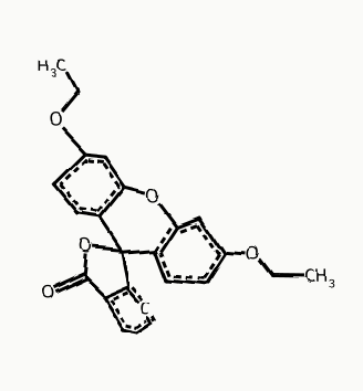 CCOc1ccc2c(c1)Oc1cc(OCC)ccc1C21OC(=O)c2ccccc21